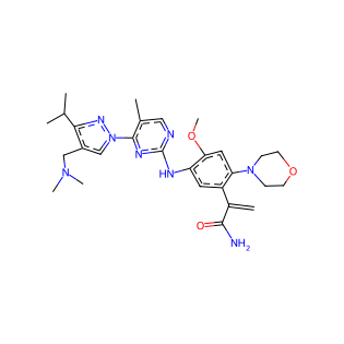 C=C(C(N)=O)c1cc(Nc2ncc(C)c(-n3cc(CN(C)C)c(C(C)C)n3)n2)c(OC)cc1N1CCOCC1